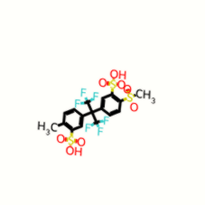 Cc1ccc(C(c2ccc(S(C)(=O)=O)c(S(=O)(=O)O)c2)(C(F)(F)F)C(F)(F)F)cc1S(=O)(=O)O